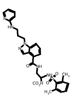 Cc1cccc(C)c1S(=O)(=O)NC(CNC(=O)c1cccc2c1cnn2CCCNc1ccccn1)C(=O)O